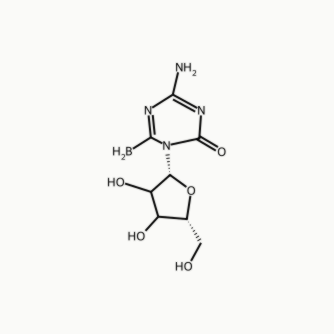 Bc1nc(N)nc(=O)n1[C@@H]1O[C@H](CO)C(O)C1O